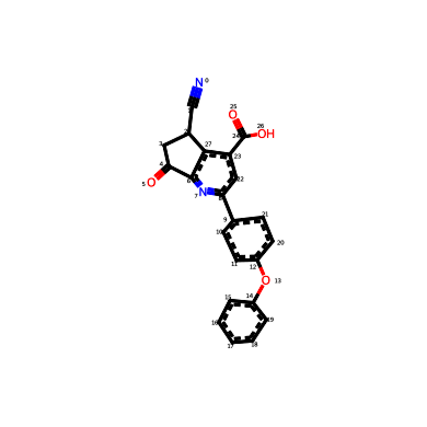 N#CC1CC(=O)c2nc(-c3ccc(Oc4ccccc4)cc3)cc(C(=O)O)c21